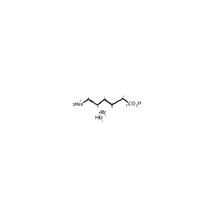 Br.Br.CCCCCCCCCCCC(=O)O